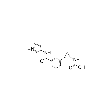 Cn1cc(NC(=O)c2cccc(C3CC3NC(=O)O)c2)cn1